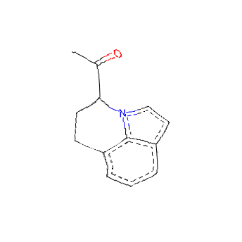 CC(=O)C1CCc2cccc3ccn1c23